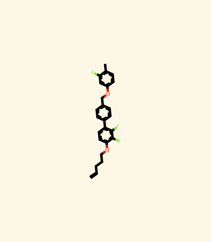 C=CCCCOc1ccc(-c2ccc(COc3ccc(C)c(F)c3)cc2)c(F)c1F